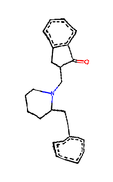 O=C1c2ccccc2CC1CN1CCCCC1Cc1ccccc1